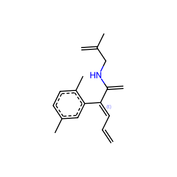 C=C/C=C(/C(=C)NCC(=C)C)c1cc(C)ccc1C